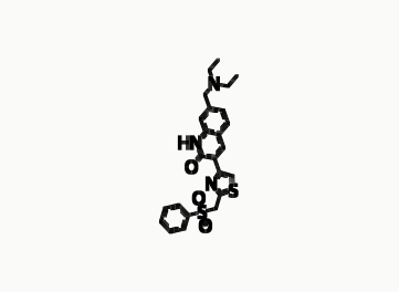 CCN(CC)Cc1ccc2cc(-c3csc(CS(=O)(=O)c4ccccc4)n3)c(=O)[nH]c2c1